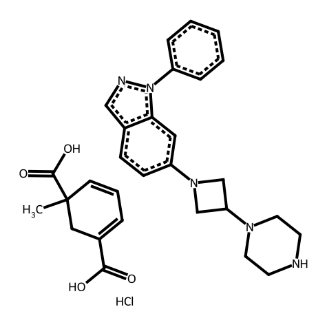 CC1(C(=O)O)C=CC=C(C(=O)O)C1.Cl.c1ccc(-n2ncc3ccc(N4CC(N5CCNCC5)C4)cc32)cc1